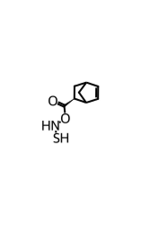 O=C(ONS)[C@H]1CC2C=CC1C2